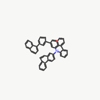 c1ccc(-c2ccccc2N(c2cccc(-c3cccc(-c4cccc5ccccc45)c3)c2)c2ccc3c(ccc4ccccc43)c2)cc1